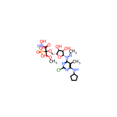 C=NN(c1nc(Cl)nc(NC2CCCC2)c1C)[C@@H]1O[C@H](COC(COC)(C(=O)NO)P(=O)(O)O)[C@@H](O)[C@H]1O